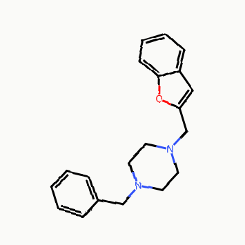 c1ccc(CN2CCN(Cc3cc4ccccc4o3)CC2)cc1